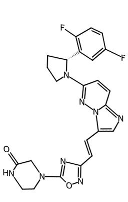 O=C1CN(c2nc(/C=C/c3cnc4ccc(N5CCC[C@@H]5c5cc(F)ccc5F)nn34)no2)CCN1